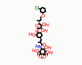 C/C(=C\c1ccc(O[C@@H]2O[C@H](/C(C)=C/COc3cccc(Cl)c3)[C@@H](O)[C@@H]2O)c(O)c1)C(=O)N[C@@H]1[C@H](O)[C@@H](O)[C@H]2OCO[C@H]2[C@@H]1O